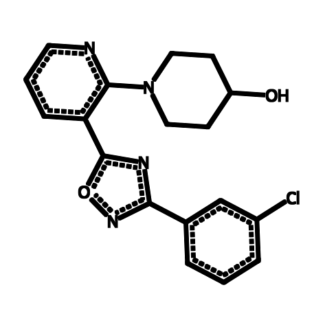 OC1CCN(c2ncccc2-c2nc(-c3cccc(Cl)c3)no2)CC1